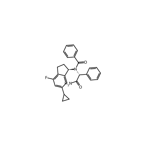 NC(=O)[C@@H](c1ccccc1)N(C(=O)c1ccccc1)[C@@H]1CCc2c(F)cc(C3CC3)cc21